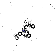 Cc1c(C#N)c(Nc2ccccc2)nc(NCc2ccccc2)c1/N=N/c1ccc([N+](=O)[O-])cc1C#N